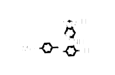 COc1ccc(COc2ccc(C)c(Nc3cc4c(cn3)ncn4C)c2)cc1